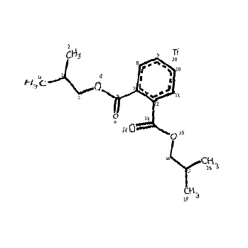 CC(C)COC(=O)c1ccccc1C(=O)OCC(C)C.[Ti]